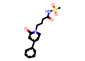 CS(=O)(=O)NC(=O)CCCn1ccc(-c2ccccc2)cc1=O